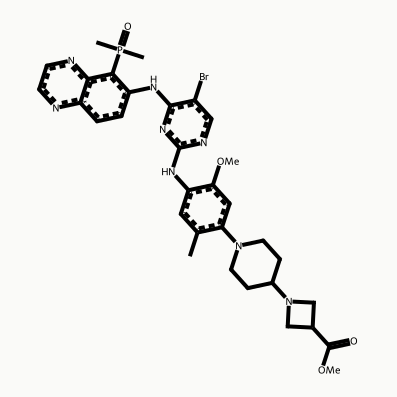 COC(=O)C1CN(C2CCN(c3cc(OC)c(Nc4ncc(Br)c(Nc5ccc6nccnc6c5P(C)(C)=O)n4)cc3C)CC2)C1